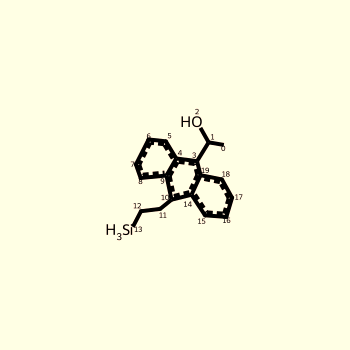 CC(O)c1c2ccccc2c(CC[SiH3])c2ccccc12